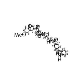 COc1ccc2c(c1)CC(C(=O)N(CC(=O)NCCCCNC(=O)c1ccc(-c3n[nH]c4ccccc34)cc1)CC(C)C)CO2